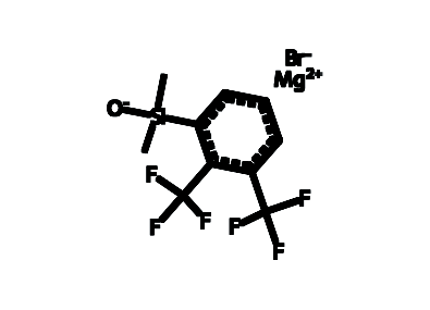 C[Si](C)([O-])c1cccc(C(F)(F)F)c1C(F)(F)F.[Br-].[Mg+2]